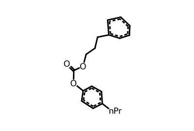 CCCc1ccc(OC(=O)OCCCc2ccccc2)cc1